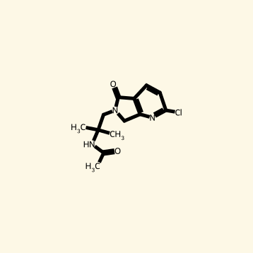 CC(=O)NC(C)(C)CN1Cc2nc(Cl)ccc2C1=O